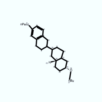 CCCCCc1ccc2c(c1)CCC(C1CCC3C[C@H](OCCCC)CC[C@@H]3C1)C2